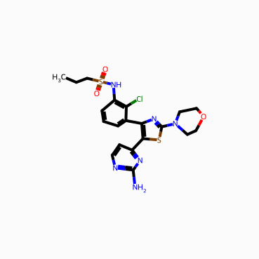 CCCS(=O)(=O)Nc1cccc(-c2nc(N3CCOCC3)sc2-c2ccnc(N)n2)c1Cl